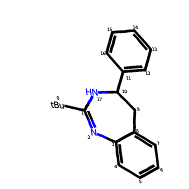 CC(C)(C)C1=Nc2ccccc2CC(c2ccccc2)N1